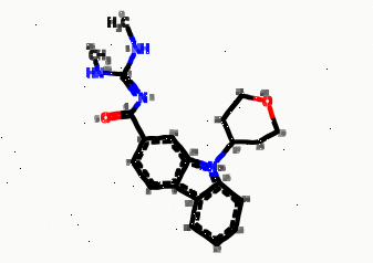 CNC(=NC(=O)c1ccc2c3ccccc3n(C3CCOCC3)c2c1)NC